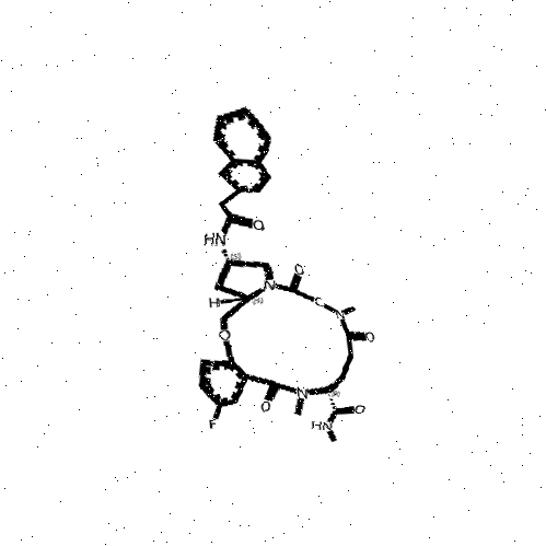 CNC(=O)[C@H]1CCC(=O)N(C)CC(=O)N2C[C@@H](NC(=O)Cc3ccc4ccccc4c3)C[C@H]2COc2ccc(F)cc2C(=O)N1C